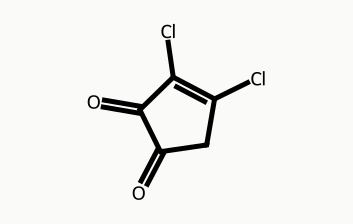 O=C1CC(Cl)=C(Cl)C1=O